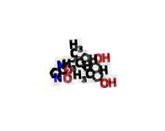 C[C@H](CCc1nc2cccnc2c(=O)o1)[C@H]1CC[C@H]2[C@H]3C(CC[C@]12C)[C@@]1(C)CC[C@@H](O)C[C@H]1C[C@@H]3O